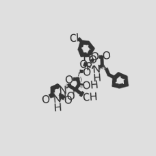 C#C[C@@]1(O)[C@H](O)[C@@H](COP(=O)(N[C@@H](CCc2ccccc2)C(=O)O)Oc2ccc(Cl)cc2)O[C@H]1n1ccc(=O)[nH]c1=O